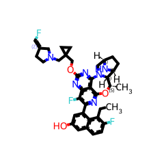 CCc1c(F)ccc2cc(O)cc(-c3nc4c5c(nc(OCC6(CN7CC/C(=C/F)C7)CC6)nc5c3F)N3C[C@H]5CC[C@H](N5)[C@H]3[C@H](C)O4)c12